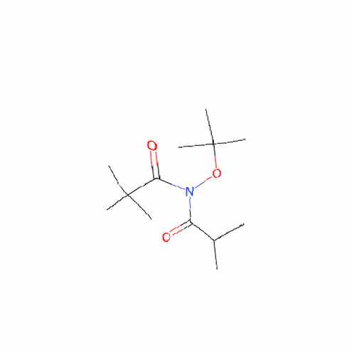 CC(C)C(=O)N(OC(C)(C)C)C(=O)C(C)(C)C